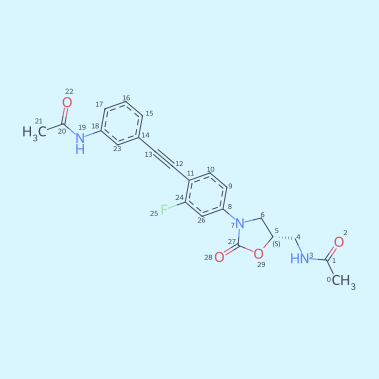 CC(=O)NC[C@H]1CN(c2ccc(C#Cc3cccc(NC(C)=O)c3)c(F)c2)C(=O)O1